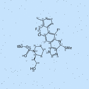 CSc1nc2c(F)c(-c3cccc(C)c3C(F)(F)F)c(Cl)cc2c2c1ncn2[C@H]1CCN(C(=O)OC(C)(C)C)[C@H](CCO)C1